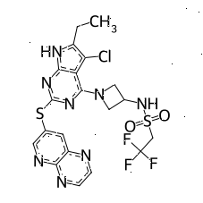 CCc1[nH]c2nc(Sc3cnc4nccnc4c3)nc(N3CC(NS(=O)(=O)CC(F)(F)F)C3)c2c1Cl